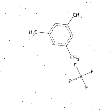 Cc1[c]c(C)cc(C)c1.F[B-](F)(F)F